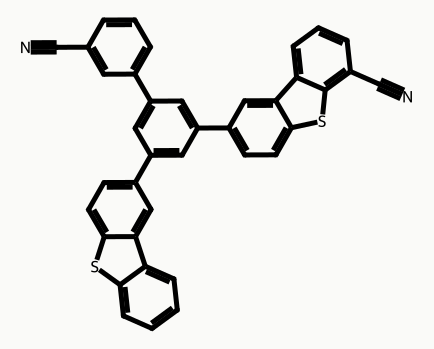 N#Cc1cccc(-c2cc(-c3ccc4sc5ccccc5c4c3)cc(-c3ccc4sc5c(C#N)cccc5c4c3)c2)c1